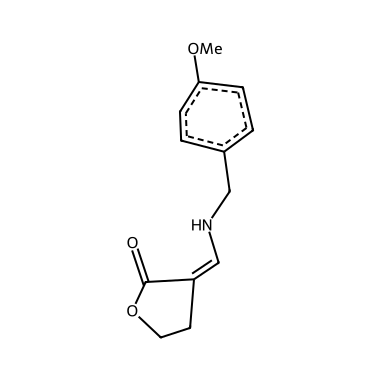 COc1ccc(CNC=C2CCOC2=O)cc1